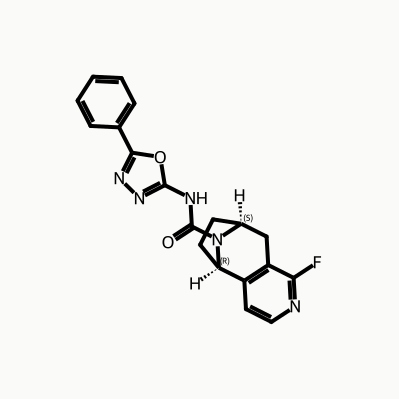 O=C(Nc1nnc(-c2ccccc2)o1)N1[C@H]2CC[C@@H]1c1ccnc(F)c1C2